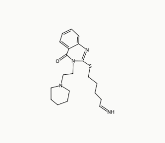 N=CCCCCSc1nc2ccccc2c(=O)n1CCN1CCCCC1